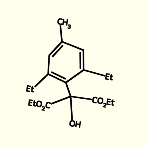 CCOC(=O)C(O)(C(=O)OCC)c1c(CC)cc(C)cc1CC